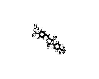 CC(=O)c1ccc(/C=C2\SC(=S)N(c3ccc(C(F)(F)F)cc3)C2=O)cc1